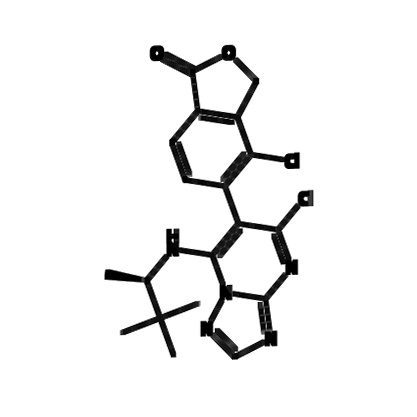 C[C@@H](Nc1c(-c2ccc3c(c2Cl)COC3=O)c(Cl)nc2ncnn12)C(C)(C)C